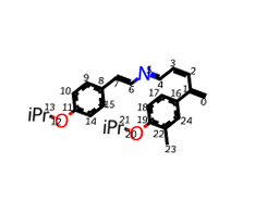 C=C(\C=C/C=N/C=C/c1ccc(OC(C)C)cc1)c1ccc(OC(C)C)c(C)c1